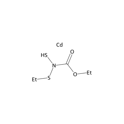 CCOC(=O)N(S)SCC.[Cd]